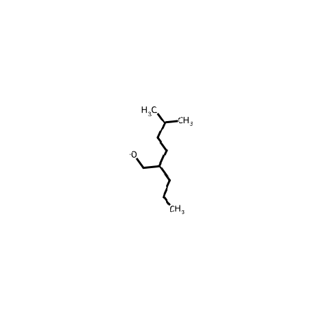 CCCC(C[O])CCC(C)C